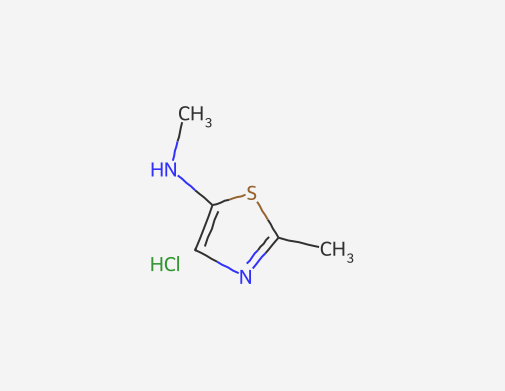 CNc1cnc(C)s1.Cl